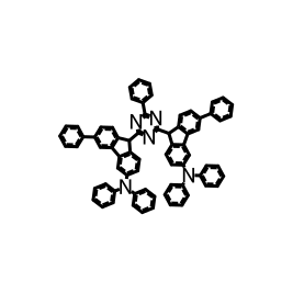 c1ccc(-c2ccc3c(c2)-c2cc(N(c4ccccc4)c4ccccc4)ccc2C3c2nc(-c3ccccc3)nc(C3c4ccc(-c5ccccc5)cc4-c4cc(N(c5ccccc5)c5ccccc5)ccc43)n2)cc1